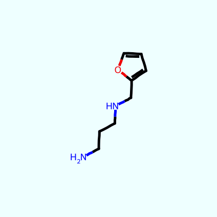 NCCCNCc1ccco1